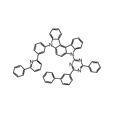 c1ccc(-c2cccc(-c3nc(-c4ccccc4)nc(-n4c5ccccc5c5c6c7ccccc7n(-c7cccc(-c8cccc(-c9ccccc9)n8)c7)c6ccc54)n3)c2)cc1